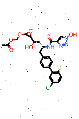 CC(=O)OCOC1OC1[C@H](O)C[C@@H](Cc1ccc(-c2cc(Cl)ccc2F)cc1)NC(=O)c1cn(O)nn1